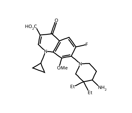 CCC1(CC)CN(c2c(F)cc3c(=O)c(C(=O)O)cn(C4CC4)c3c2OC)CCC1N